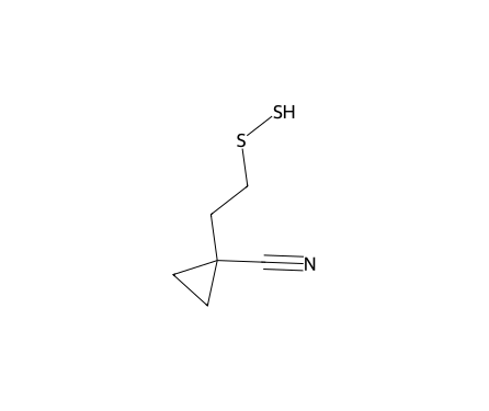 N#CC1(CCSS)CC1